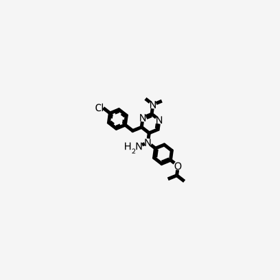 CC(C)OC1=CC=C(N(N)C2C=NC(N(C)C)=NC2Cc2ccc(Cl)cc2)CC1